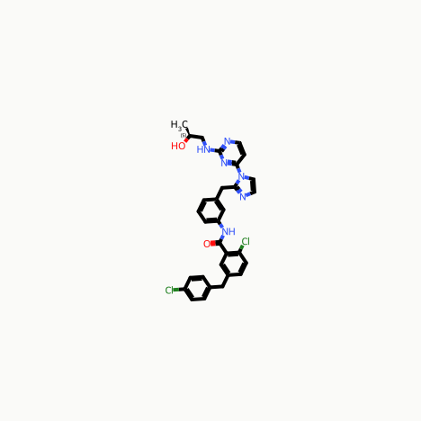 C[C@H](O)CNc1nccc(-n2ccnc2Cc2cccc(NC(=O)c3cc(Cc4ccc(Cl)cc4)ccc3Cl)c2)n1